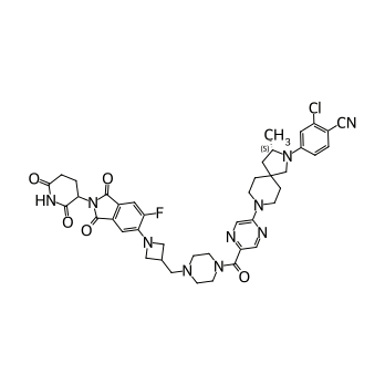 C[C@H]1CC2(CCN(c3cnc(C(=O)N4CCN(CC5CN(c6cc7c(cc6F)C(=O)N(C6CCC(=O)NC6=O)C7=O)C5)CC4)cn3)CC2)CN1c1ccc(C#N)c(Cl)c1